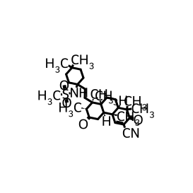 C[C@H]1C(=O)C[C@@H]2[C@@]3(C)C=C(C#N)C(=O)C(C)(C)[C@@H]3CC[C@@]2(C)[C@]1(C)CCC1(NS(C)(=O)=O)CCC(C)(C)CC1